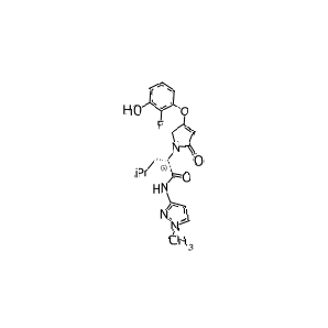 CC(C)C[C@@H](C(=O)Nc1ccn(C)n1)N1CC(Oc2cccc(O)c2F)=CC1=O